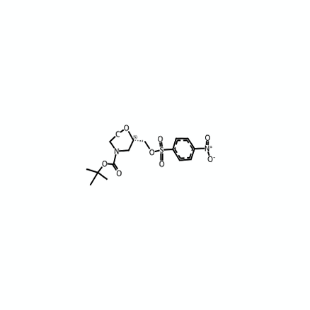 CC(C)(C)OC(=O)N1CCO[C@H](COS(=O)(=O)c2ccc([N+](=O)[O-])cc2)C1